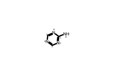 [NH]c1ncncn1